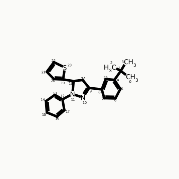 CC(C)(C)c1cccc(C2=NN(c3ccccc3)C(c3cccs3)C2)c1